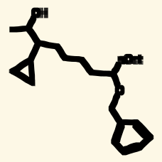 CCCCCCCCC(CCCCC(C(C)O)C1CC1)OCc1ccccc1